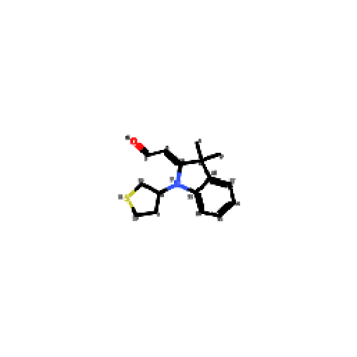 CC1(C)/C(=C/C=O)N(C2CCSC2)c2ccccc21